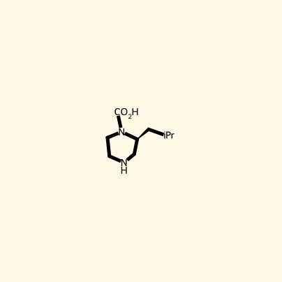 CC(C)C[C@H]1CNCCN1C(=O)O